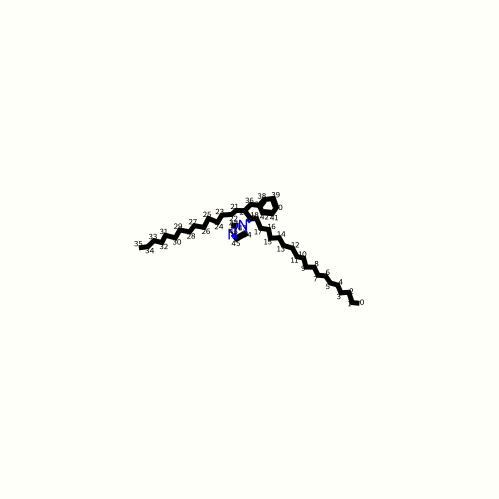 CCCCCCCCCCCCCCCCCCCC(C(CCCCCCCCCCCCCCC)Cc1ccccc1)n1ccnc1